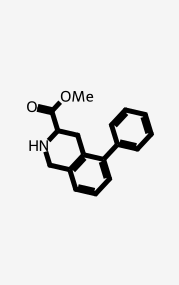 COC(=O)C1Cc2c(cccc2-c2ccccc2)CN1